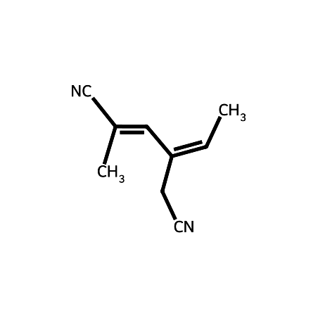 C/C=C(\C=C(/C)C#N)CC#N